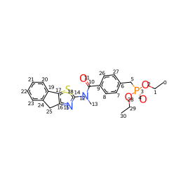 CCOP(=O)(Cc1ccc(C(=O)N(C)c2nc3c(s2)-c2ccccc2C3)cc1)OCC